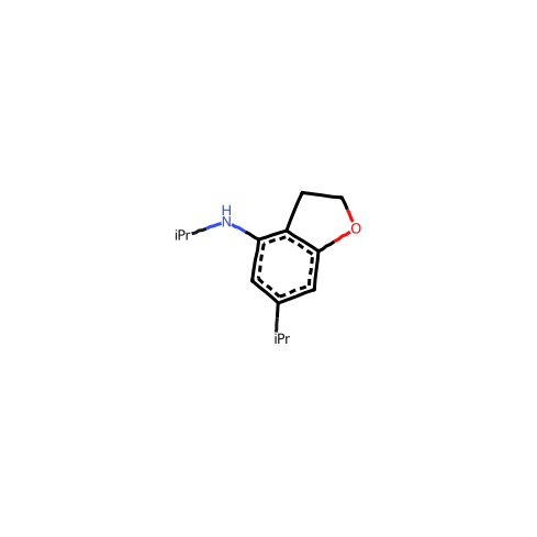 CC(C)Nc1cc(C(C)C)cc2c1CCO2